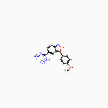 N/N=C(\NN)c1ccc2noc(-c3ccc(OC(F)(F)F)cc3)c2c1